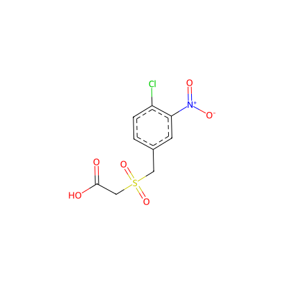 O=C(O)CS(=O)(=O)Cc1ccc(Cl)c([N+](=O)[O-])c1